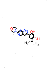 CC(C)c1cc(/C(Cc2ccc(N3CCOCC3)nc2)=N/N)c(O)cc1O